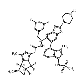 C=C1C[C@@H]2[C@H]1c1c(C(F)(F)F)nn(CC(=O)N[C@@H](Cc3cc(F)cc(F)c3)c3nc4nc(N5CCN(CC)CC5)sc4cc3-c3cccc4c(NS(C)(=O)=O)nn(C)c34)c1C2(F)F